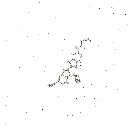 CCCOc1ccc2oc(-c3nc4cc(C#N)ccn4c3NC)cc2c1